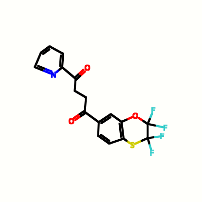 O=C(CCC(=O)c1ccccn1)c1ccc2c(c1)OC(F)(F)C(F)(F)S2